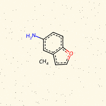 C.Nc1ccc2occc2c1